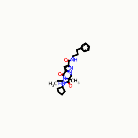 CCCN1C(=O)c2cc(C(=O)NCCCc3ccccc3)nn2CC1(C)C(=O)NC1CCCC1